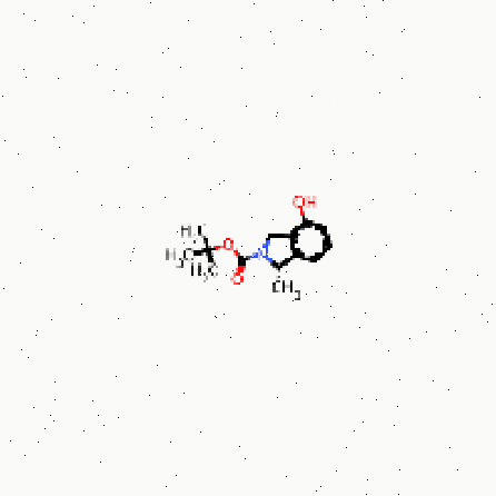 C[C@H]1c2cccc(O)c2CN1C(=O)OC(C)(C)C